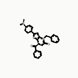 CN(C)c1ccc(-c2cc3c(s2)c(C(=O)c2ccccc2)cc(=O)n3Cc2ccccc2)cc1